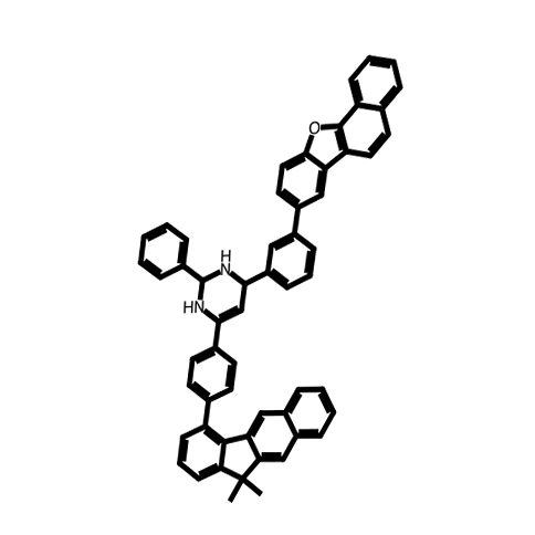 CC1(C)c2cc3ccccc3cc2-c2c(-c3ccc(C4=CC(c5cccc(-c6ccc7oc8c9ccccc9ccc8c7c6)c5)NC(c5ccccc5)N4)cc3)cccc21